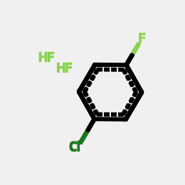 F.F.Fc1ccc(Cl)cc1